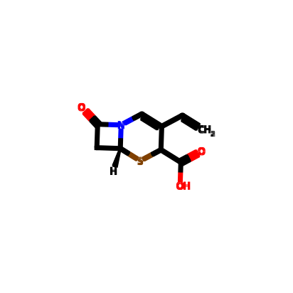 C=CC1=CN2C(=O)C[C@H]2SC1C(=O)O